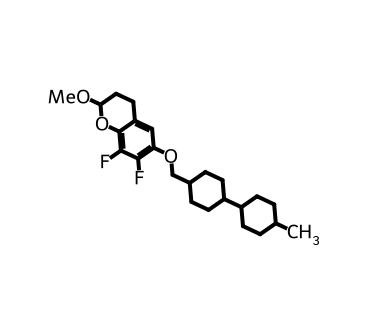 COC1CCc2cc(OCC3CCC(C4CCC(C)CC4)CC3)c(F)c(F)c2O1